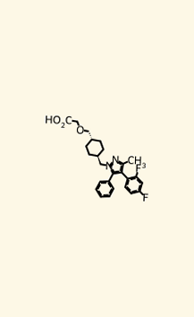 Cc1nn(C[C@H]2CC[C@H](COCC(=O)O)CC2)c(-c2ccccc2)c1-c1ccc(F)cc1F